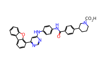 O=C(Nc1ccc(Nc2cc(-c3cccc4c3oc3ccccc34)ncn2)cc1)c1ccc(C2CCCN(C(=O)O)C2)cc1